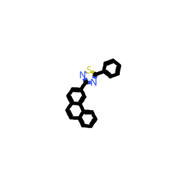 c1ccc(-c2nc(-c3ccc4ccc5ccccc5c4c3)ns2)cc1